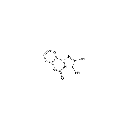 CCCCC1C(C(C)(C)C)=Nc2c3ccccc3nc(=O)n21